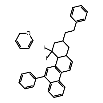 C1=CCOC=C1.IC1(I)CC(CCc2ccccc2)CC2C=Cc3c(cc(-c4ccccc4)c4ccccc34)C21